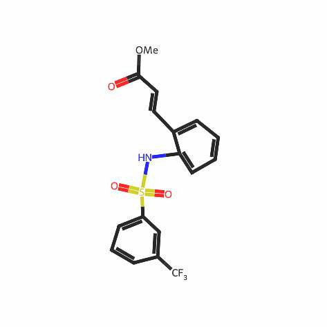 COC(=O)C=Cc1ccccc1NS(=O)(=O)c1cccc(C(F)(F)F)c1